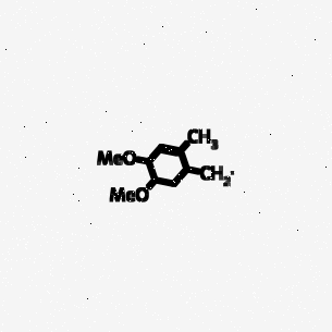 [CH2]C1CC(OC)C(OC)C=C1C